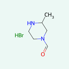 Br.CC1CN(C=O)CCN1